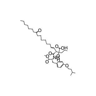 CCCCCCCC(=O)CCCCCC/C=C/[C@H](C(=O)N[C@@H](Cc1ccc(OCCC(C)C)cc1)C(=O)OC)[C@@](O)(CCC)C(=O)O